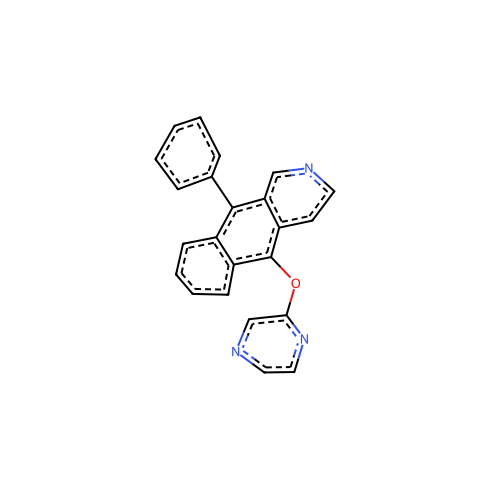 c1ccc(-c2c3ccccc3c(Oc3cnccn3)c3ccncc23)cc1